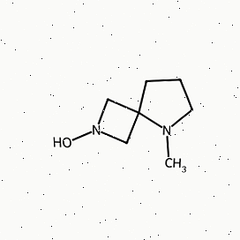 CN1CCCC12CN(O)C2